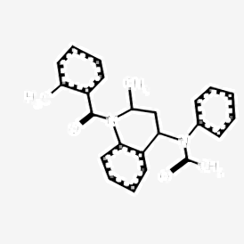 CC(=O)N(c1ccccc1)C1CC(C)N(C(=O)c2ccccc2C)c2ccccc21